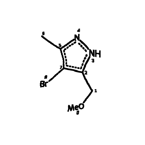 COCc1[nH]nc(C)c1Br